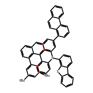 CC(C)(C)c1cc(-c2cccc3cccc(-c4ccccc4N(c4cccc(-c5cccc6c5ccc5ccccc56)c4)c4cccc5c4sc4ccccc45)c23)cc(C(C)(C)C)c1